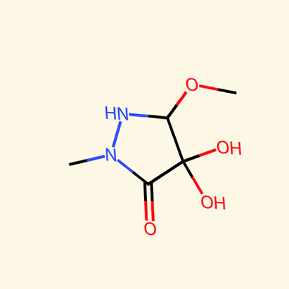 COC1NN(C)C(=O)C1(O)O